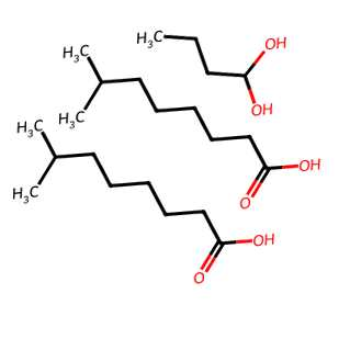 CC(C)CCCCCC(=O)O.CC(C)CCCCCC(=O)O.CCCC(O)O